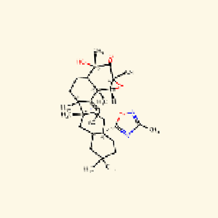 CC(=O)/C=C1/[C@]2(C)C(CC[C@@]1(C)[C@]1(C)CC[C@@]3(c4nc(C)no4)CCC(C)(C)CC3C1)[C@](C)(O)C(=O)[C@]1(C#N)O[C@@H]12